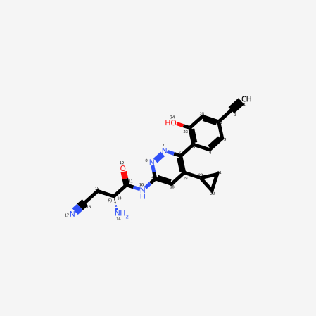 C#Cc1ccc(-c2nnc(NC(=O)[C@H](N)CC#N)cc2C2CC2)c(O)c1